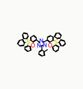 Cc1ccccc1-c1nc(-c2cccc3c2Oc2ccccc2S3(c2ccccc2)c2ccccc2)nc(-c2cccc3c2Oc2ccccc2S3(c2ccccc2)c2ccccc2)n1